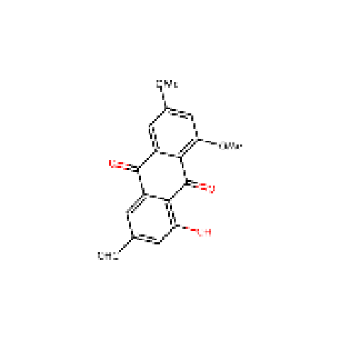 COc1cc(OC)c2c(c1)C(=O)c1cc(C=O)cc(O)c1C2=O